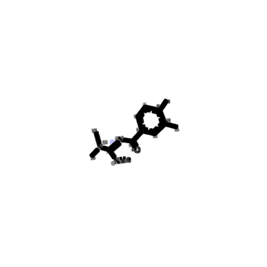 CN/C(=N\C(=O)c1ccc(C)c(C)c1)N(C)C